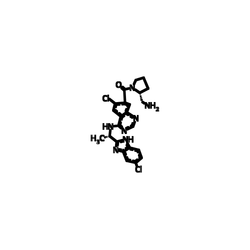 C[C@H](Nc1ncnc2cc(C(=O)N3CCC[C@@H]3CN)c(Cl)cc12)c1nc2cc(Cl)ccc2[nH]1